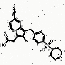 Cc1c(Cc2ccc(S(=O)(=O)N3CCOCC3)cc2)c2cc(C#N)ccn2c1CC(=O)O